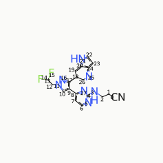 N#CCCNc1nccc(-c2cn(CC(F)F)nc2C2C=c3[nH]ccc3=NC2)n1